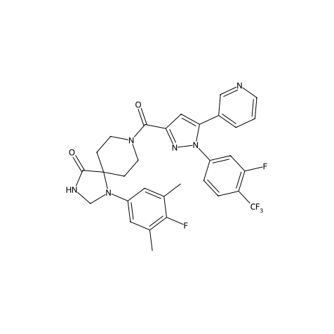 Cc1cc(N2CNC(=O)C23CCN(C(=O)c2cc(-c4cccnc4)n(-c4ccc(C(F)(F)F)c(F)c4)n2)CC3)cc(C)c1F